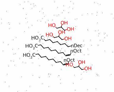 CCCCCCCC/C=C\CCCCCCCC(=O)O.CCCCCCCC/C=C\CCCCCCCC(=O)O.CCCCCCCCCCCCCCCCCC(=O)O.OCC(O)CO.OCC(O)CO.OCC(O)CO